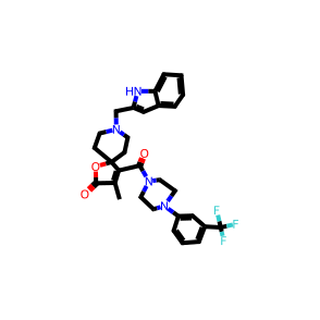 CC1=C(C(=O)N2CCN(c3cccc(C(F)(F)F)c3)CC2)C2(CCN(Cc3cc4ccccc4[nH]3)CC2)OC1=O